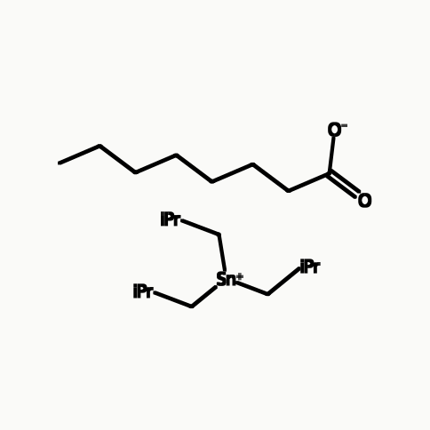 CC(C)[CH2][Sn+]([CH2]C(C)C)[CH2]C(C)C.CCCCCCCC(=O)[O-]